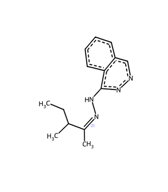 CCC(C)/C(C)=N\Nc1nncc2ccccc12